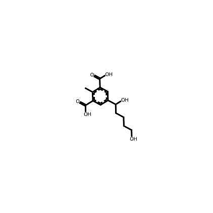 Cc1c(C(=O)O)cc(C(O)CCCCO)cc1C(=O)O